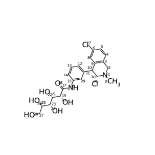 CN1Cc2ccc(Cl)cc2C(c2cccc(NC(=O)[C@H](O)[C@@H](O)[C@H](O)[C@H](O)CO)c2)[C@H]1Cl